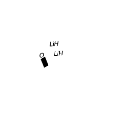 C=O.[LiH].[LiH]